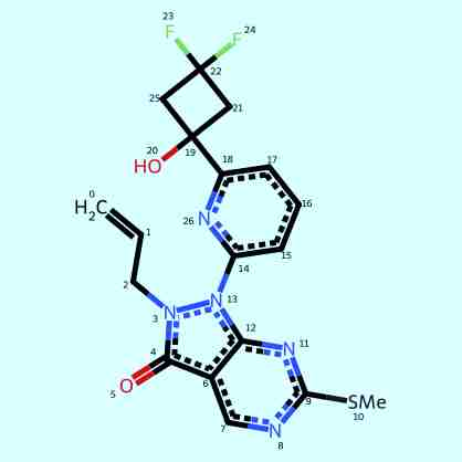 C=CCn1c(=O)c2cnc(SC)nc2n1-c1cccc(C2(O)CC(F)(F)C2)n1